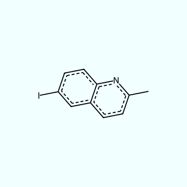 Cc1ccc2cc(I)ccc2n1